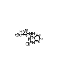 CC(C)(C)c1cc(Nc2nc(Cl)nc3ccccc23)n[nH]1